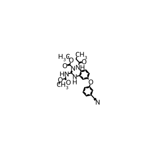 CCC(=O)Nc1ccc(Oc2cccc(C#N)c2)cc1NC(=NC(=O)OC)NC(=O)OC